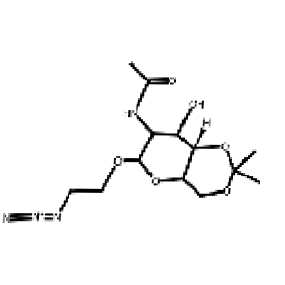 CC(=O)NC1C(OCCN=[N+]=[N-])OC2COC(C)(C)O[C@H]2C1O